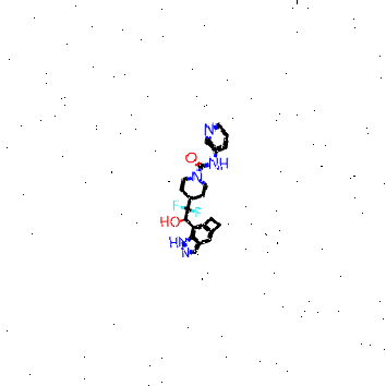 O=C(Nc1cccnc1)N1CCC(C(F)(F)[C@H](O)c2c3c(cc4cn[nH]c24)CC3)CC1